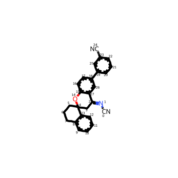 N#CN=C1CC2(CCCc3ccccc32)Oc2ccc(-c3cccc(C#N)c3)cc21